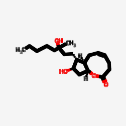 CCCCCC(C)(O)CC[C@@H]1[C@H]2C/C=C\CCC(=O)O[C@H]2C[C@H]1O